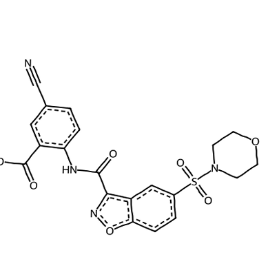 N#Cc1ccc(NC(=O)c2noc3ccc(S(=O)(=O)N4CCOCC4)cc23)c(C(=O)O)c1